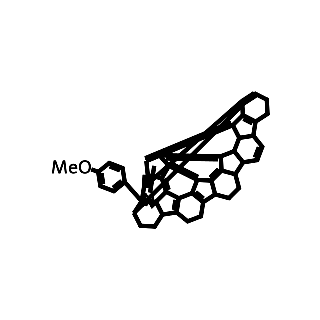 COc1ccc(C2N(C)CC34c5c6c7c8c9c%10c%11c7c7c5=C5CCC=7C%11CCC%10C7C=CC%10C%11=c%12c(c-8c-6c6c%12=C(CC%11)C(CCC53)C624)C%10C97)cc1